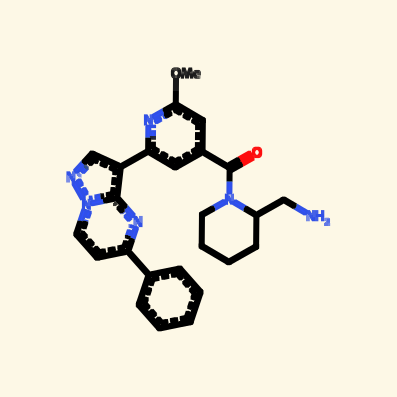 COc1cc(C(=O)N2CCCCC2CN)cc(-c2cnn3ccc(-c4ccccc4)nc23)n1